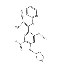 C=Nc1cc(OC2CCOC2)c([N+](=O)[O-])cc1/C(Nc1ncccn1)=C(\C)C#N